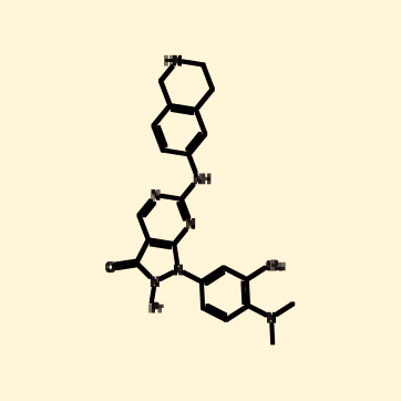 CC(C)n1c(=O)c2cnc(Nc3ccc4c(c3)CCNC4)nc2n1-c1ccc(N(C)C)c(C(C)(C)C)c1